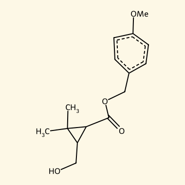 COc1ccc(COC(=O)C2C(CO)C2(C)C)cc1